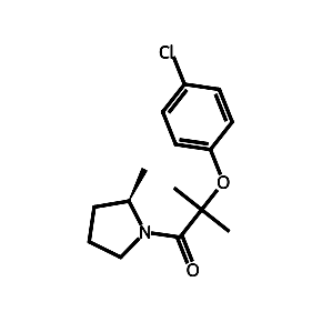 C[C@@H]1CCCN1C(=O)C(C)(C)Oc1ccc(Cl)cc1